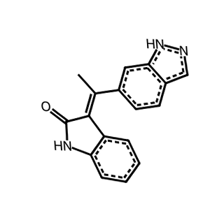 CC(=C1C(=O)Nc2ccccc21)c1ccc2cn[nH]c2c1